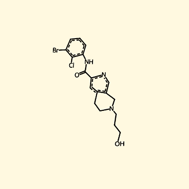 O=C(Nc1cccc(Br)c1Cl)c1cc2c(cn1)CN(CCCO)CC2